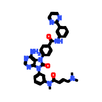 CN(C)CC=CC(=O)N(C)c1cccc(-n2c(=O)n(-c3ccc(C(=O)Nc4cccc(-c5ncccn5)c4)cc3)c3c(N)ncnc32)c1